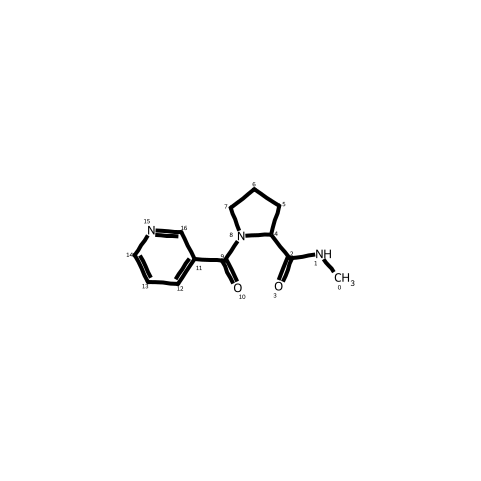 CNC(=O)C1CCCN1C(=O)c1cccnc1